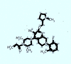 C=CC(=O)N1[C@H](C)CN(c2c(C#N)c(OCC3CCCN3C)nc3c2CCN(c2c(C)cccc2F)C3)C[C@@H]1C